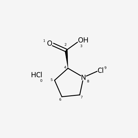 Cl.O=C(O)[C@@H]1CCCN1Cl